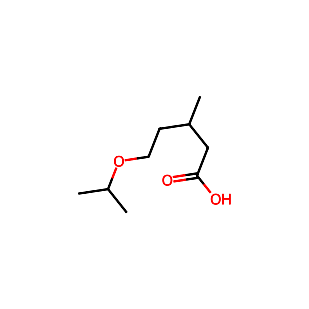 CC(CCOC(C)C)CC(=O)O